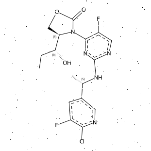 CC[C@@H](O)[C@H]1COC(=O)N1c1nc(N[C@@H](C)c2cnc(Cl)c(F)c2)ncc1F